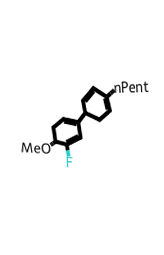 CCCCCC1=CCC(C2=CCC(OC)C(F)=C2)C=C1